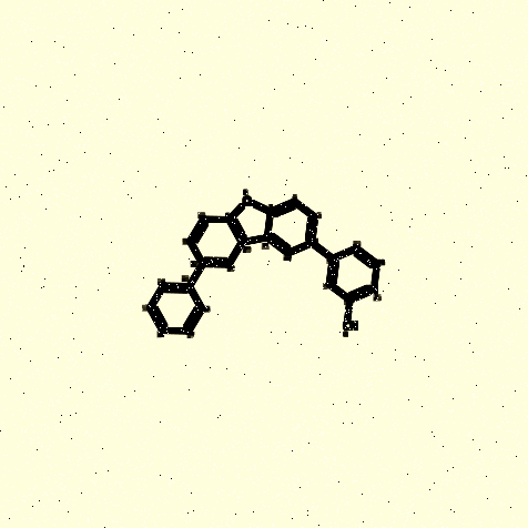 N#Cc1cc(-c2ccc3oc4ccc(-c5ccccc5)cc4c3c2)ccn1